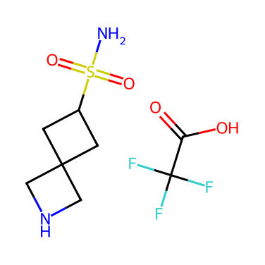 NS(=O)(=O)C1CC2(CNC2)C1.O=C(O)C(F)(F)F